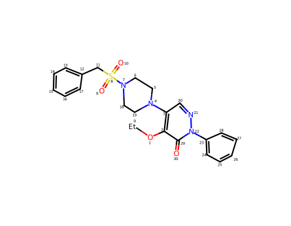 CCOc1c(N2CCN(S(=O)(=O)Cc3ccccc3)CC2)cnn(-c2ccccc2)c1=O